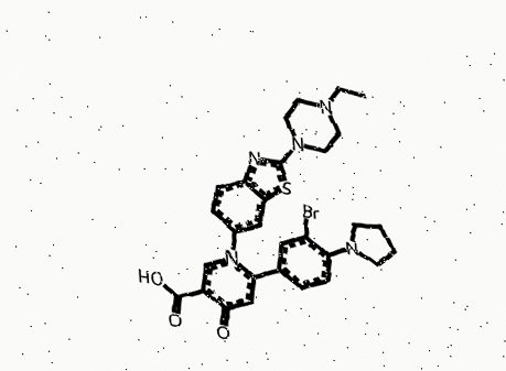 CCN1CCN(c2nc3ccc(-n4cc(C(=O)O)c(=O)cc4-c4ccc(N5CCCC5)c(Br)c4)cc3s2)CC1